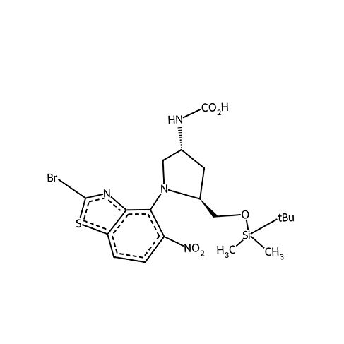 CC(C)(C)[Si](C)(C)OC[C@@H]1C[C@@H](NC(=O)O)CN1c1c([N+](=O)[O-])ccc2sc(Br)nc12